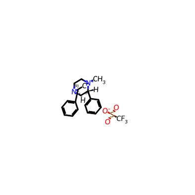 C[N+]12CCN(C[C@H]1c1ccccc1)[C@H](c1ccccc1)C2.O=S(=O)([O-])C(F)(F)F